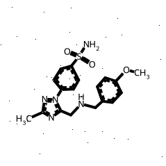 COc1ccc(CNCc2nc(C)nn2-c2ccc(S(N)(=O)=O)cc2)cc1